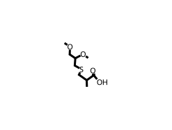 COCC(CSCC(C)C(=O)O)OC